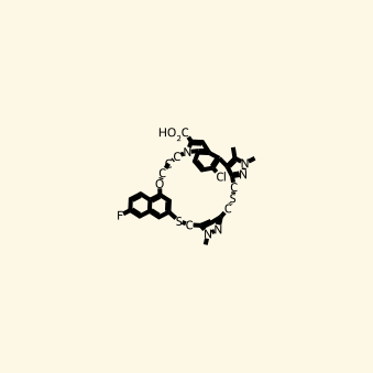 Cc1c2c(nn1C)CSCc1cc(n(C)n1)CSc1cc(c3ccc(F)cc3c1)OCCCn1c(C(=O)O)cc3c-2c(Cl)ccc31